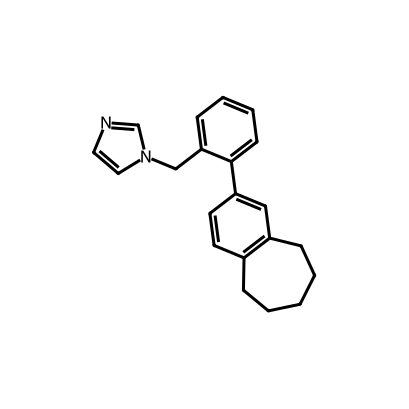 c1ccc(-c2ccc3c(c2)CCCCC3)c(Cn2ccnc2)c1